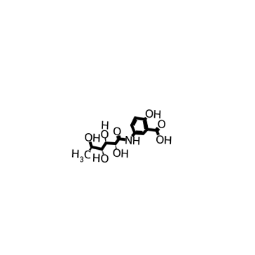 C[C@@H](O)[C@@H](O)[C@H](O)[C@@H](O)C(=O)Nc1ccc(O)c(C(=O)O)c1